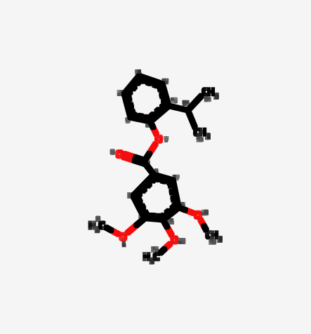 COc1cc(C(=O)Oc2ccccc2C(C)C)cc(OC)c1OC